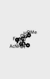 COc1cccc(CNC[C@@H](O)[C@H](Cc2cc(F)cc(F)c2)NC(=O)C(CCc2ccccc2)N2CC[C@](NC(C)=O)(C(C)C)C2=O)c1